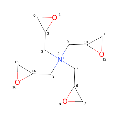 C1OC1C[N+](CC1CO1)(CC1CO1)CC1CO1